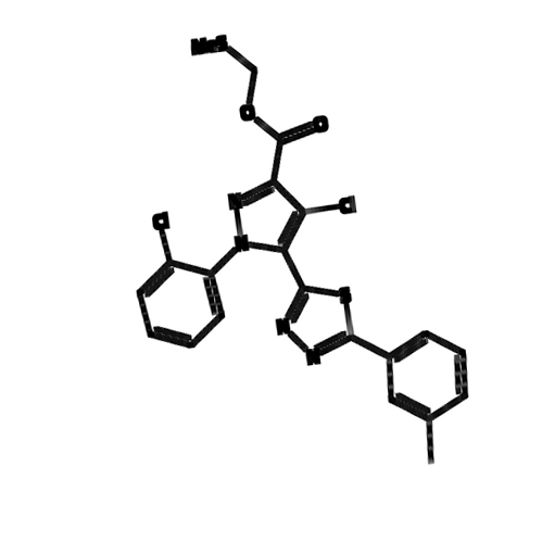 CSCOC(=O)c1nn(-c2ccccc2Cl)c(-c2nnc(-c3cccc(C)c3)s2)c1Cl